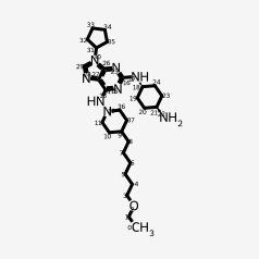 CCOCCCCCCC1CCN(Nc2nc(N[C@H]3CC[C@H](N)CC3)nc3c2ncn3C2CCCC2)CC1